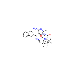 Cc1nc(N)ccc1C[N+]1(C(=O)[C@@H](CC2CCCCC2)NCc2ccc3ccccc3c2)CCC[C@@H]2C[C@@]21C(N)=O